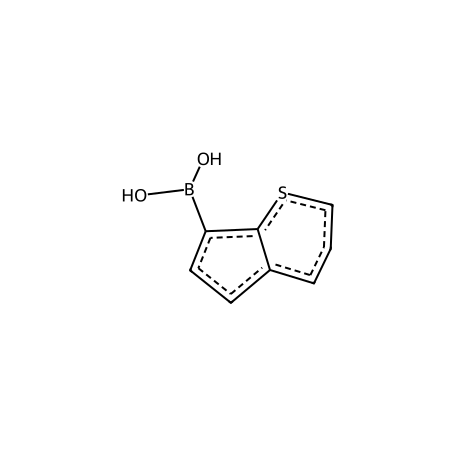 OB(O)c1ccc2cccsc1-2